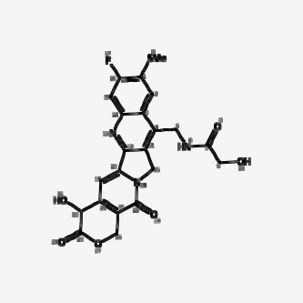 CSc1cc2c(CNC(=O)CO)c3c(nc2cc1F)-c1cc2c(c(=O)n1C3)COC(=O)C2O